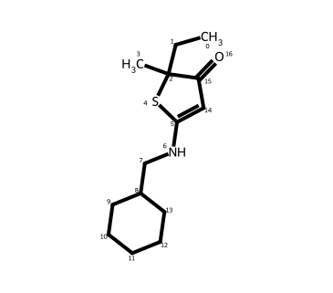 CCC1(C)SC(NCC2CCCCC2)=CC1=O